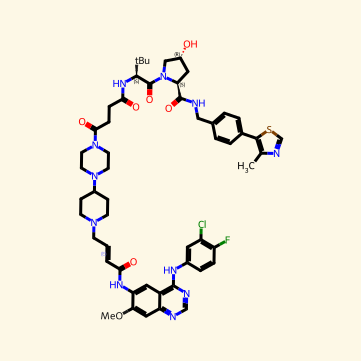 COc1cc2ncnc(Nc3ccc(F)c(Cl)c3)c2cc1NC(=O)/C=C/CN1CCC(N2CCN(C(=O)CCC(=O)N[C@H](C(=O)N3C[C@H](O)C[C@H]3C(=O)NCc3ccc(-c4scnc4C)cc3)C(C)(C)C)CC2)CC1